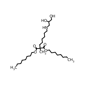 CCCCCCCCOC(=O)C(C)(CCCCCCNCC(O)CO)C(=O)OCCCCCCCC